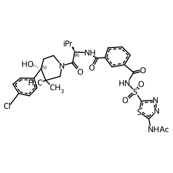 CC(=O)Nc1nnc(S(=O)(=O)NC(=O)c2cccc(C(=O)N[C@@H](C(=O)N3CC[C@](O)(c4ccc(Cl)cc4)C(C)(C)C3)C(C)C)c2)s1